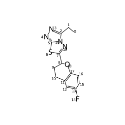 CCc1nnc2sc(C3CCc4cc(F)ccc4O3)nn12